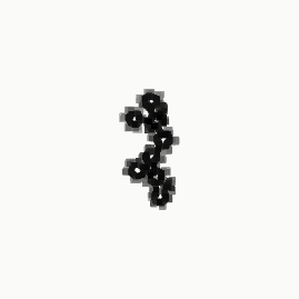 CC1(C)c2ccccc2-c2cc3c(cc21)-c1cc(-c2cccc(-c4nc(-c5ccccc5)c5c(n4)oc4ccccc45)c2)ccc1C31CCCCC1